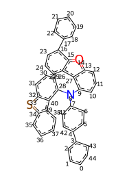 c1ccc(-c2ccc(N(c3cccc4oc5c(-c6ccccc6)cccc5c34)c3cccc4sc5ccccc5c34)cc2)cc1